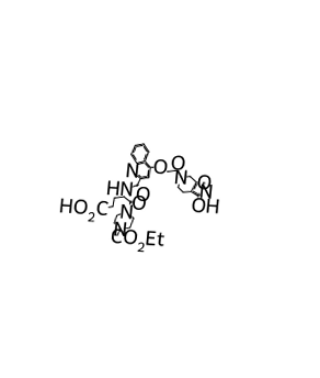 CCOC(=O)N1CCN(C(=O)C(CCC(=O)O)NC(=O)c2cc(OCC(=O)N3CCc4c(O)noc4C3)c3ccccc3n2)CC1